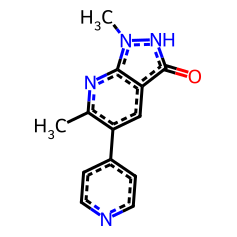 Cc1nc2c(cc1-c1ccncc1)c(=O)[nH]n2C